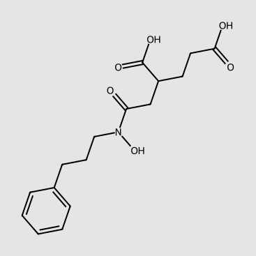 O=C(O)CCC(CC(=O)N(O)CCCc1ccccc1)C(=O)O